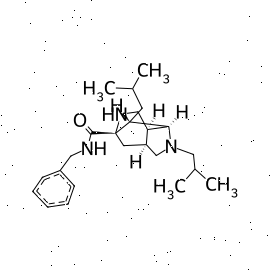 CC(C)C[C@@H]1[C@@H]2[C@@H]3CN[C@@]1(C(=O)NCc1ccccc1)C[C@@H]3CN2CC(C)C